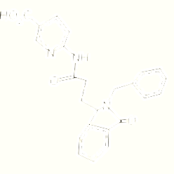 O=C(CCC1c2ccccc2C(=O)N1Cc1ccccc1)Nc1ccc(C(=O)O)cn1